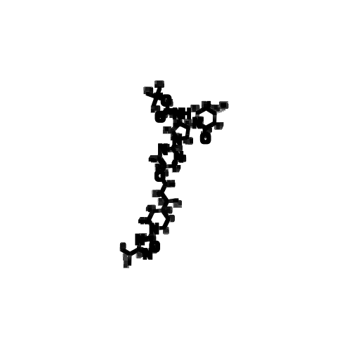 CC(C)c1noc(N2CCC([C@H](C)CCOc3cnc(N4C[C@H](NC(=O)OC(C)(C)C)[C@H](N5CC[C@H](C)CC5=O)C4)nc3)CC2)n1